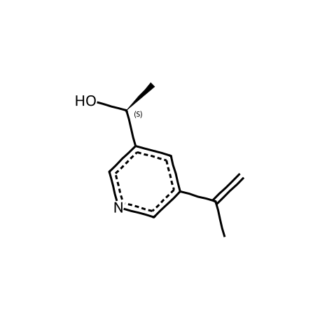 C=C(C)c1cncc([C@H](C)O)c1